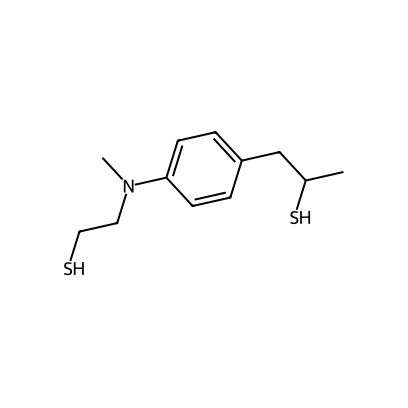 CC(S)Cc1ccc(N(C)CCS)cc1